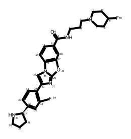 O=C(NCCCN1CCC(F)CC1)c1ccc2c(c1)oc1nc(-c3ccc([C@H]4CCCN4)cc3F)cn12